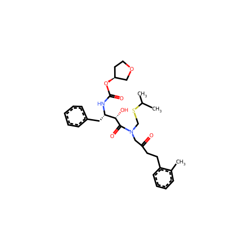 Cc1ccccc1CCC(=O)CN(CSC(C)C)C(=O)[C@@H](O)[C@H](Cc1ccccc1)NC(=O)O[C@H]1CCOC1